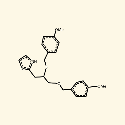 COc1ccc(COCC(Cc2ncc[nH]2)SCc2ccc(OC)cc2)cc1